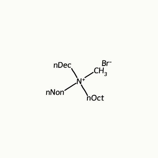 CCCCCCCCCC[N+](C)(CCCCCCCC)CCCCCCCCC.[Br-]